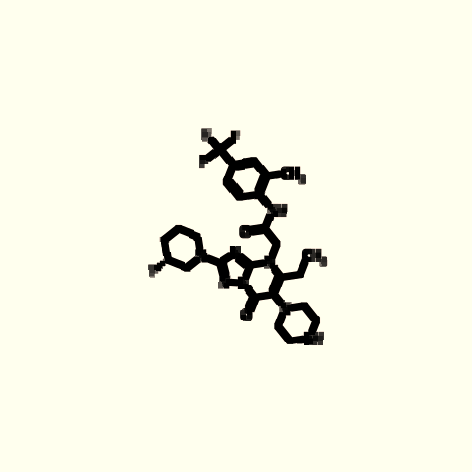 CCc1c(N2CCNCC2)c(=O)n2nc(N3CCC[C@@H](F)C3)nc2n1CC(=O)Nc1ccc(C(F)(F)F)cc1C